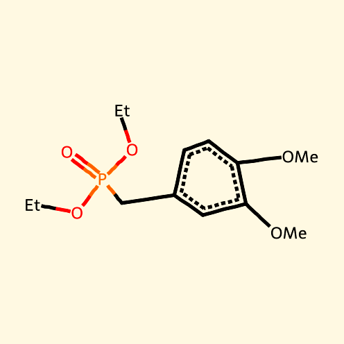 CCOP(=O)(Cc1ccc(OC)c(OC)c1)OCC